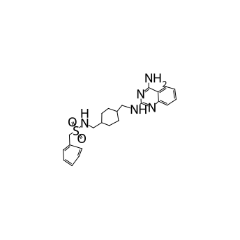 Nc1nc(NCC2CCC(CNS(=O)(=O)Cc3ccccc3)CC2)nc2ccccc12